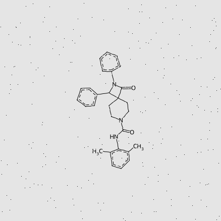 Cc1cccc(C)c1NC(=O)N1CCC2(CC1)C(=O)N(c1ccccc1)C2c1ccccc1